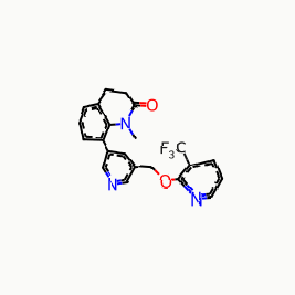 CN1C(=O)CCc2cccc(-c3cncc(COc4ncccc4C(F)(F)F)c3)c21